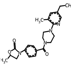 CCc1cnc(N2CCN(C(=O)c3ccc(N4CC(C)OC4=O)cc3)CC2)c(C)c1